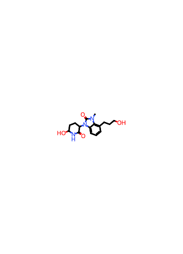 Cn1c(=O)n(C2CCC(O)NC2=O)c2cccc(CCCO)c21